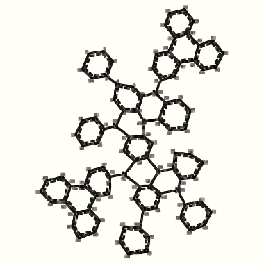 c1ccc(-c2cc3c4c(c2)N(c2ccccc2)c2cc5c(cc2B4c2ccccc2N3c2ccc3c4ccccc4c4ccccc4c3c2)B2c3ccccc3N(c3ccccc3)c3cc(-c4ccccc4)cc(c32)N5c2ccc3c4ccccc4c4ccccc4c3c2)cc1